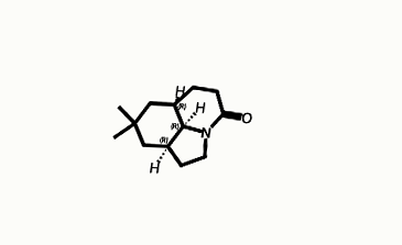 CC1(C)C[C@H]2CCC(=O)N3CC[C@@H](C1)[C@@H]23